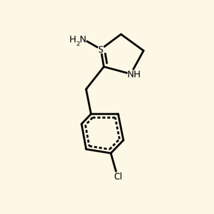 NS1=C(Cc2ccc(Cl)cc2)NCC1